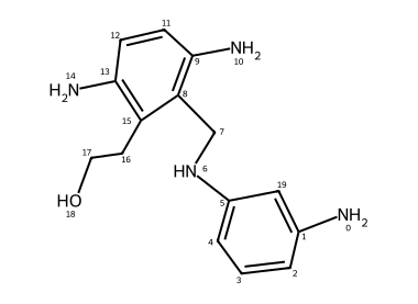 Nc1cccc(NCc2c(N)ccc(N)c2CCO)c1